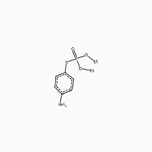 CCOP(=O)(OCC)Sc1ccc(N)cc1